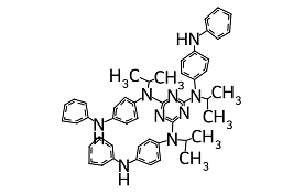 CC(C)N(c1ccc(Nc2ccccc2)cc1)c1nc(N(c2ccc(Nc3ccccc3)cc2)C(C)C)nc(N(c2ccc(Nc3ccccc3)cc2)C(C)C)n1